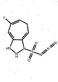 [N-]=[N+]=NS(=O)(=O)N1NNC2=CC(F)=CCC=C21